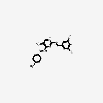 N[C@H]1CC[C@H](CNc2nc(NCc3cc(Cl)cc(Cl)c3)ncc2[N+](=O)[O-])CC1